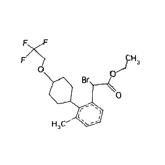 CCOC(=O)C(Br)c1cccc(C)c1C1CCC(OCC(F)(F)F)CC1